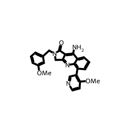 COc1cccc(CN2Cc3nc4c(-c5cnccc5OC)cccc4c(N)c3C2=O)c1